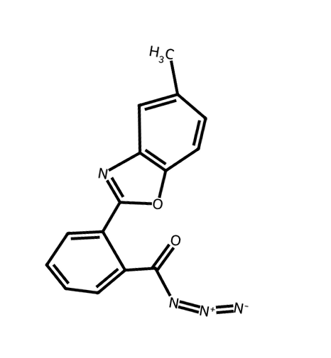 Cc1ccc2oc(-c3ccccc3C(=O)N=[N+]=[N-])nc2c1